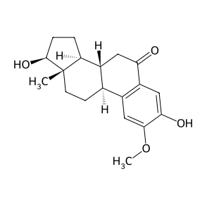 COc1cc2c(cc1O)C(=O)C[C@@H]1[C@@H]2CC[C@]2(C)[C@@H](O)CC[C@@H]12